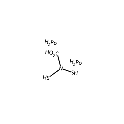 O=C(O)N(S)S.[PoH2].[PoH2]